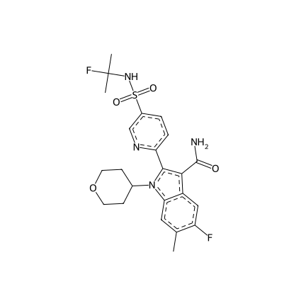 Cc1cc2c(cc1F)c(C(N)=O)c(-c1ccc(S(=O)(=O)NC(C)(C)F)cn1)n2C1CCOCC1